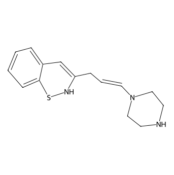 C(=CN1CCNCC1)CC1=Cc2ccccc2SN1